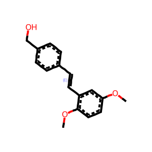 COc1ccc(OC)c(/C=C/c2ccc(CO)cc2)c1